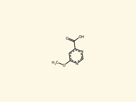 COc1cc(C(=O)O)ncn1